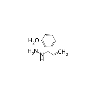 C=CCNN.O.c1ccccc1